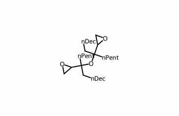 CCCCCCCCCCCC(CCCCC)(OC(CCCCC)(CCCCCCCCCCC)C1CO1)C1CO1